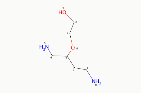 NC[CH]C(CN)OCCO